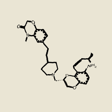 C=C(C)/C=C\c1c(N)ccc2c1O[C@@H](CN1CCC(CCc3ccc4c(c3)N(C)C(=O)CO4)CC1)CO2